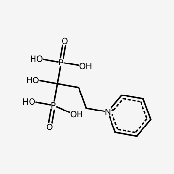 O=P(O)(O)C(O)(CC[n+]1ccccc1)P(=O)(O)O